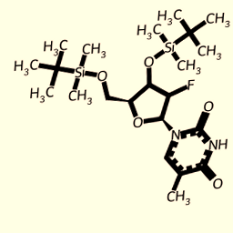 Cc1cn([C@H]2O[C@@H](CO[Si](C)(C)C(C)(C)C)C(O[Si](C)(C)C(C)(C)C)C2F)c(=O)[nH]c1=O